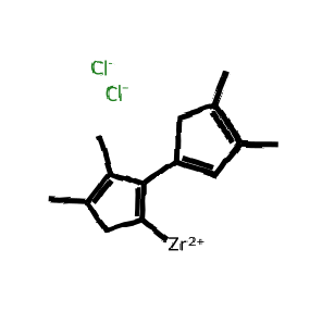 CC1=C(C)CC(C2=[C]([Zr+2])CC(C)=C2C)=C1.[Cl-].[Cl-]